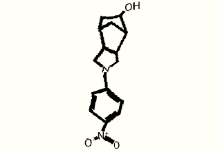 O=[N+]([O-])c1ccc(N2CC3C4CC(O)C(C4)C3C2)cc1